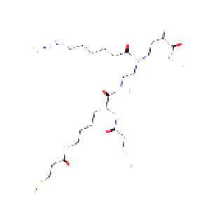 CCCCC(CCN(CCNC(=O)[C@H](CCCCNC(=O)CCSC(C)=O)NC(=O)CCSC(C)=O)C(=O)CCCCCN=[N+]=[N-])C(N)=O